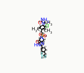 Cc1cc(N(C)C(N)=O)c(Cl)c(C)c1CCS(=O)(=O)N1CCC2(CC1)N=C(C1CCC(CC(F)(F)F)CC1)NC2=O